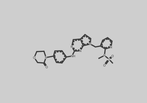 CN(c1ncccc1Cn1ccc2cnc(Nc3ccc(N4CCOCC4=O)cc3)nc21)S(C)(=O)=O